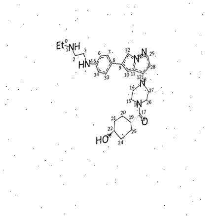 CCNCCNc1ccc(-c2cc3c(N4CCN(C(=O)[C@H]5CC[C@H](O)CC5)CC4)ccnn3c2)cc1